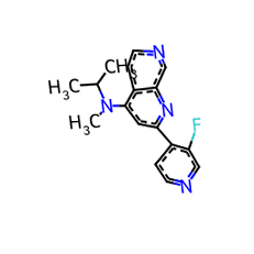 CC(C)N(C)c1cc(-c2ccncc2F)nc2cnccc12